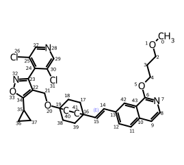 COCCCOc1nccc2ccc(/C=C/C34CCC(OCc5c(-c6c(Cl)cncc6Cl)noc5C5CC5)(CC3)CC4)cc12